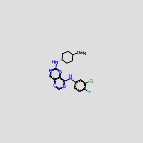 CO[C@H]1CC[C@H](Nc2ncc3ncnc(Nc4ccc(F)c(Cl)c4)c3n2)CC1